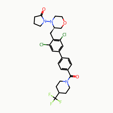 O=C(c1ccc(-c2cc(Cl)c(C[C@@H]3COCCN3N3CCCC3=O)c(Cl)c2)cc1)N1CCC(C(F)(F)F)CC1